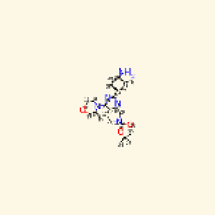 Cc1cc(-c2nc3c(c(N4CCOC[C@@H]4C)n2)CCN(C(=O)OC(C)(C)C)C3)ccc1N